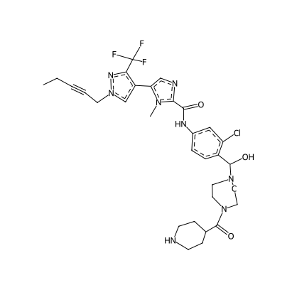 CCC#CCn1cc(-c2cnc(C(=O)Nc3ccc(C(O)N4CCN(C(=O)C5CCNCC5)CC4)c(Cl)c3)n2C)c(C(F)(F)F)n1